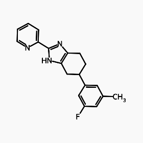 Cc1cc(F)cc(C2CCc3nc(-c4ccccn4)[nH]c3C2)c1